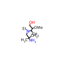 CCN(CC(C)(C)N)C(C)C(CO)OC